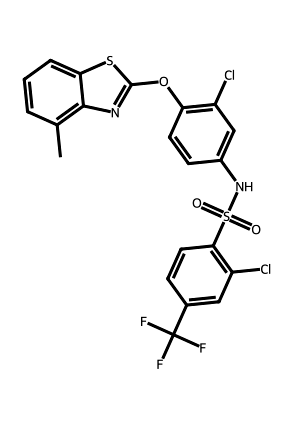 Cc1cccc2sc(Oc3ccc(NS(=O)(=O)c4ccc(C(F)(F)F)cc4Cl)cc3Cl)nc12